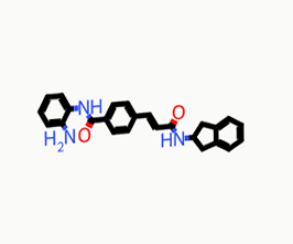 Nc1ccccc1NC(=O)c1ccc(C=CC(=O)NC2Cc3ccccc3C2)cc1